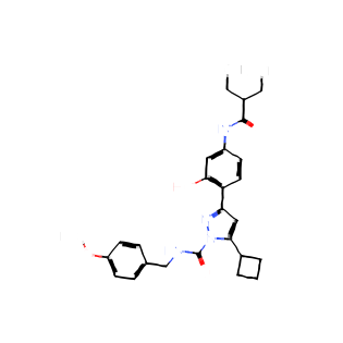 CCC(CC)C(=O)Nc1ccc(-c2cc(C3CCC3)n(C(=O)NCc3ccc(OC)cc3)n2)c(O)c1